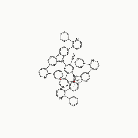 N#Cc1cc(-n2c3cc(-c4cccnc4-c4ccccc4)ccc3c3ccc(-c4cccnc4-c4ccccc4)cc32)c(-c2ccccc2C(F)(F)F)cc1-n1c2cc(-c3cccnc3-c3ccccc3)ccc2c2ccc(-c3cccnc3-c3ccccc3)cc21